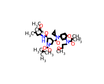 COCCCN1C(=O)C(C)(C)Oc2ccc(N(C(=O)[C@@H]3C[C@H](C(=O)N[C@H](CCOC)CC(C)C)CN(C(=O)OC(C)(C)C)C3)C3CC3)cc21